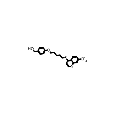 OCc1ccc(OCCCCCSc2ccnc3cc(C(F)(F)F)ccc23)cc1